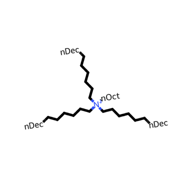 CCCCCCCCCCCCCCCC[N+](CCCCCCCC)(CCCCCCCCCCCCCCCC)CCCCCCCCCCCCCCCC